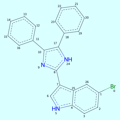 Brc1ccc2[nH]cc(-c3nc(-c4ccccc4)c(-c4ccccc4)[nH]3)c2c1